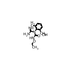 CCONC(=O)N(C(=N)N)c1c(C)cccc1C.Cl